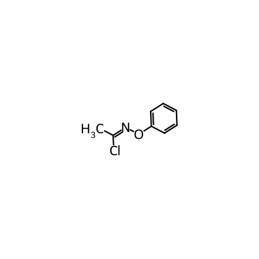 CC(Cl)=NOc1ccccc1